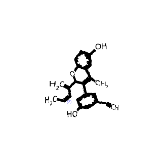 C#Cc1cc(O)cc(C2=C(C)c3cc(O)ccc3OC2C(=C)/C=C\C)c1